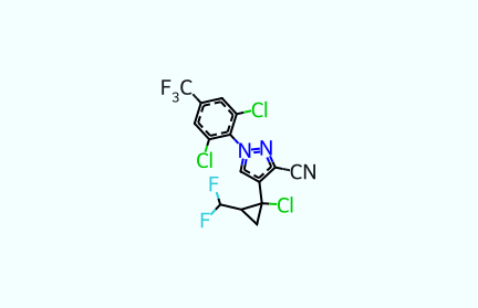 N#Cc1nn(-c2c(Cl)cc(C(F)(F)F)cc2Cl)cc1C1(Cl)CC1C(F)F